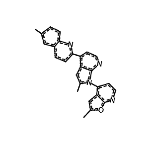 Cc1ccc2nc(-c3ccnc4c3cc(C)n4-c3ccnc4oc(C)cc34)ccc2c1